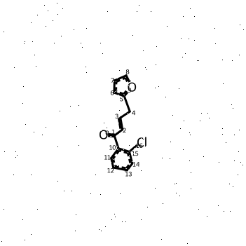 O=C(C=CCc1ccco1)c1ccccc1Cl